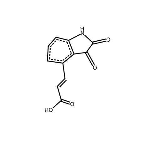 O=C(O)C=Cc1cccc2c1C(=O)C(=O)N2